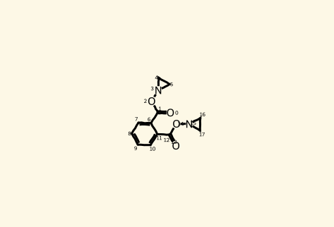 O=C(ON1CC1)c1ccccc1C(=O)ON1CC1